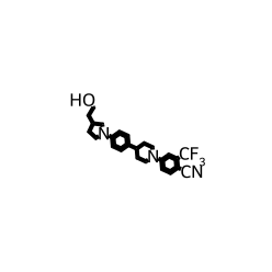 N#Cc1ccc(N2CCC(c3ccc(N4CCC(CCO)C4)cc3)CC2)cc1C(F)(F)F